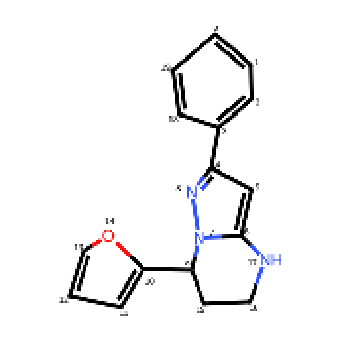 c1ccc(-c2cc3n(n2)C(c2ccco2)CCN3)cc1